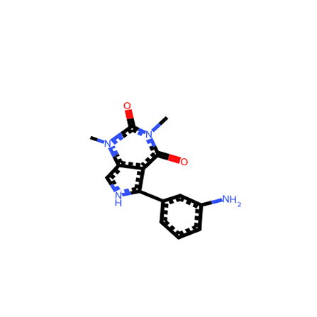 Cn1c(=O)c2c(-c3cccc(N)c3)[nH]cc2n(C)c1=O